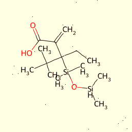 C=C(C(=O)O)C(CC)(C(C)(C)C)[Si](C)(C)O[SiH](C)C